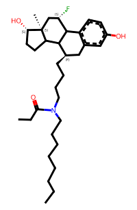 CCCCCCCCN(CCCC[C@@H]1Cc2cc(O)ccc2C2C1C1CC[C@H](O)[C@@]1(C)C[C@@H]2F)C(=O)CC